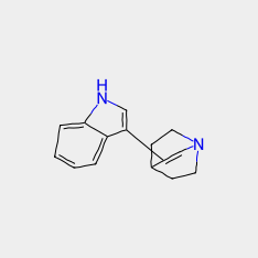 C1=C(c2c[nH]c3ccccc23)C2CCN1CC2